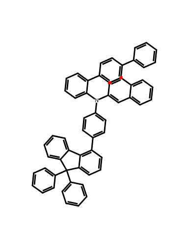 c1ccc(-c2ccc(-c3ccccc3N(c3ccc(-c4cccc5c4-c4ccccc4C5(c4ccccc4)c4ccccc4)cc3)c3ccc4ccccc4c3)cc2)cc1